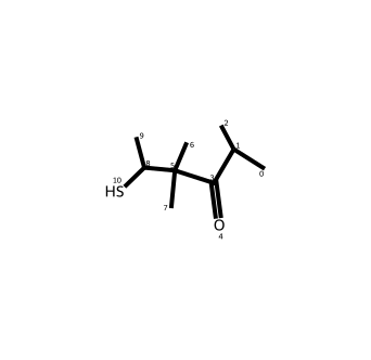 CC(C)C(=O)C(C)(C)C(C)S